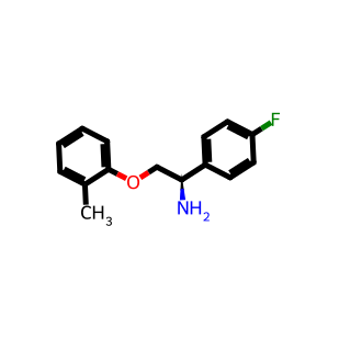 Cc1ccccc1OC[C@H](N)c1ccc(F)cc1